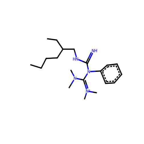 CCCCC(CC)CNC(=N)N(C(N(C)C)=[N+](C)C)c1ccccc1